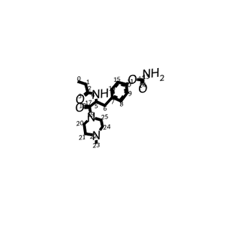 CCC(=O)NC(Cc1ccc(OC(N)=O)cc1)C(=O)N1CCN(C)CC1